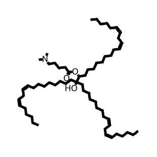 CCCCC/C=C\C/C=C\CCCCCCCCC(OC(=O)CCCCN(C)C)C(O)(CCCCCCCC/C=C\C/C=C\CCCCC)CCCCCCCC/C=C\C/C=C\CCCCC